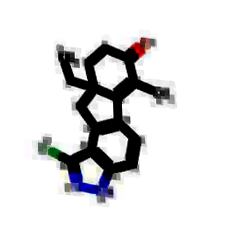 CCC12CCC(=O)C(C)=C1c1ccc3[nH]nc(Br)c3c1C2